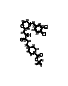 CC(C)(C)OC(=O)N1CCC(CCC(=O)NCC2CN(Cc3ccc(Cl)c(Cl)c3)CCO2)CC1